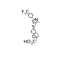 Cc1nc(-c2ccc(C(F)(F)F)cc2)sc1CSc1ccc2c(c1)CC=C(CC(=O)O)O2